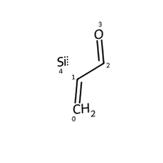 C=CC=O.[Si]